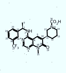 C[C@@H](Nc1ncnc2c1cc([C@@H]1CCCN(C(=O)O)C1)c(=O)n2C)c1cccc(C(F)(F)F)c1